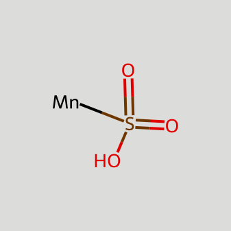 O=[S](=O)(O)[Mn]